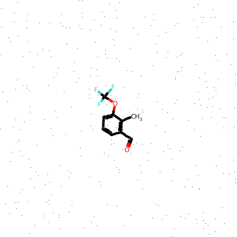 Cc1c(C=O)cccc1OC(F)(F)F